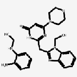 N#CCNc1ccccc1N.N#CCn1c(Cc2nc(N3CCOCC3)cc(=O)[nH]2)nc2ccccc21